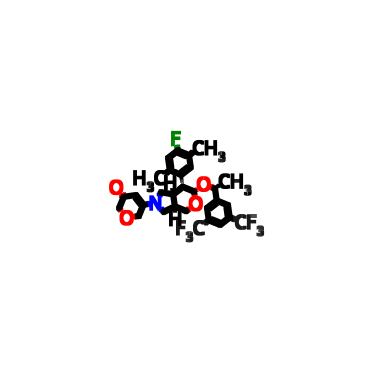 Cc1cc([C@@H]2[C@@H](O[C@H](C)c3cc(C(F)(F)F)cc(C(F)(F)F)c3)OC[C@@H]3CN(C4=CC(=O)COC4)C[C@H]32)c(C)cc1F